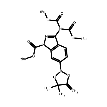 C=C1OB(c2ccc3c(N(C(=O)OC(C)(C)C)C(=O)OC(C)(C)C)nn(C(=O)OC(C)(C)C)c3c2)OC1(C)C